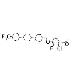 Fc1c(OCC2CCC(C3CCC(C4CCC(C(F)(F)F)CC4)CC3)CC2)ccc(C2CO2)c1Cl